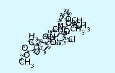 CCOC(=O)c1oc2ccc(S(=O)(=O)N(CC)c3ccc(Cl)cc3CN(Cc3ccco3)C(=O)OC(C)(C)C)cc2c1C